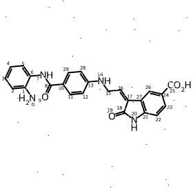 Nc1ccccc1NC(=O)c1ccc(NCC=C2C(=O)Nc3ccc(C(=O)O)cc32)cc1